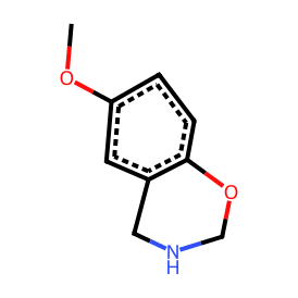 COc1ccc2c(c1)CNCO2